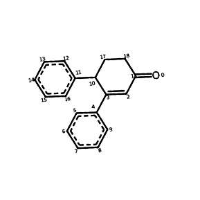 O=C1C=C(c2ccccc2)C(c2ccccc2)CC1